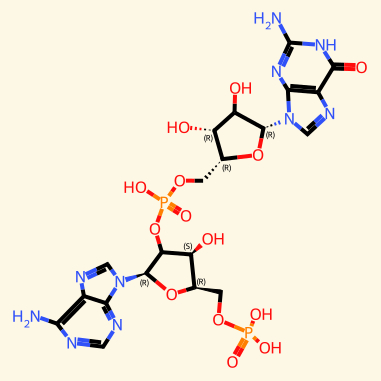 Nc1nc2c(ncn2[C@@H]2O[C@H](COP(=O)(O)OC3[C@@H](O)[C@@H](COP(=O)(O)O)O[C@H]3n3cnc4c(N)ncnc43)[C@H](O)C2O)c(=O)[nH]1